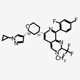 CN1C=c2cc([C@H]3CCO[C@@H](c4cnn(C5CC5)c4)C3)nc(-c3ccc(F)cc3F)c2=NC1C(F)(F)F